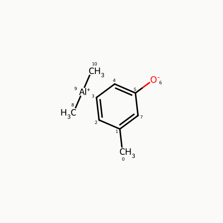 Cc1cccc([O-])c1.[CH3][Al+][CH3]